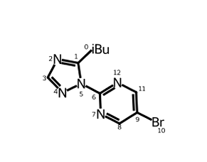 CCC(C)c1ncnn1-c1ncc(Br)cn1